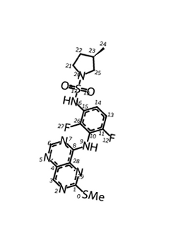 CSc1ncc2ncnc(Nc3c(F)ccc(NS(=O)(=O)N4CC[C@@H](C)C4)c3F)c2n1